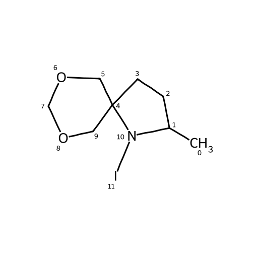 CC1CCC2(COCOC2)N1I